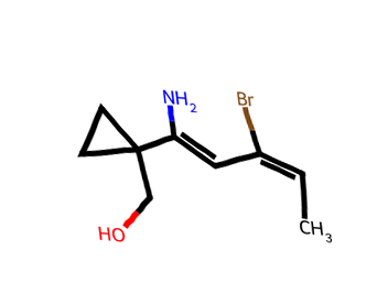 C/C=C(Br)\C=C(/N)C1(CO)CC1